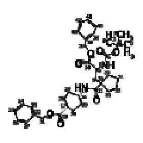 CC(C)(C)OC(=O)NC(CC1(C(=O)N[C@H]2CC[C@@H](C(=O)OCc3ccccc3)CC2)CCCC1)C(=O)OCc1ccccc1